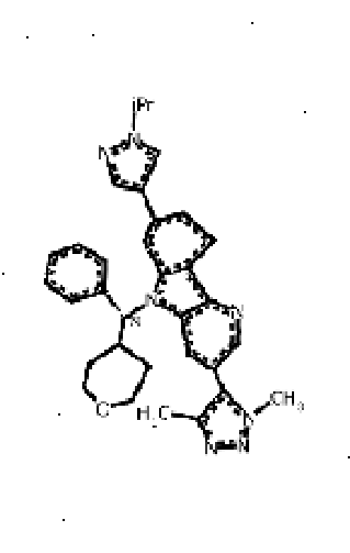 Cc1nnn(C)c1-c1cnc2c3ccc(-c4cnn(C(C)C)c4)cc3n([C@H](c3ccccc3)C3CCOCC3)c2c1